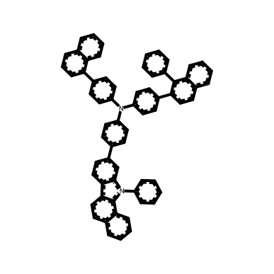 c1ccc(-c2c(-c3ccc(N(c4ccc(-c5ccc6c7ccc8ccccc8c7n(-c7ccccc7)c6c5)cc4)c4ccc(-c5cccc6ccccc56)cc4)cc3)ccc3ccccc23)cc1